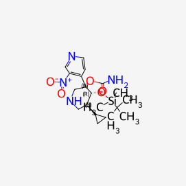 CC(C)(C)[Si](C)(C)O[C@@H]1[C@@H](C2CC2)CNC[C@]1(OC(N)=O)c1ccncc1[N+](=O)[O-]